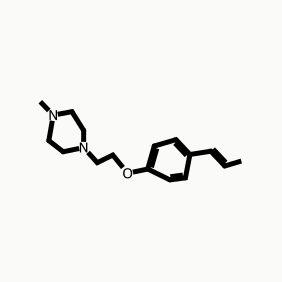 C/C=C/c1ccc(OCCN2CCN(C)CC2)cc1